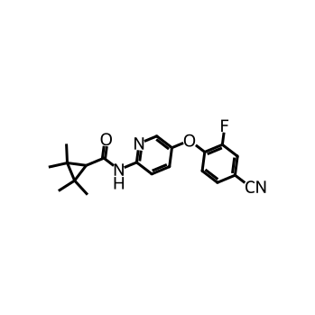 CC1(C)C(C(=O)Nc2ccc(Oc3ccc(C#N)cc3F)cn2)C1(C)C